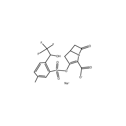 Cc1ccc(C(O)C(F)(F)F)c(S(=O)(=O)OC2=C(C(=O)[O-])N3C(=O)CC3C2)c1.[Na+]